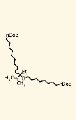 CCCCCCCCCCCCCCCCCCOC(CC)(OCCCCCCCCCCCCCCCCCC)N(C)C